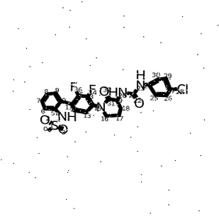 CS(=O)(=O)Nc1ccccc1-c1ccc(N2CCCC(NC(=O)Nc3ccc(Cl)cc3)C2=O)c(F)c1F